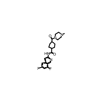 CN1CCN(C(=O)C2CCC(C(=O)Nc3cc4cc(I)cc(F)c4cn3)CC2)CC1